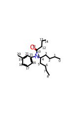 CCCCC(CCCC)N(C(=O)CCC)c1cccc(C)c1